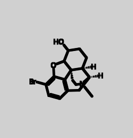 CN1CC[C@]23c4c5ccc(Br)c4OC2C(O)CC[C@H]3[C@H]1C5